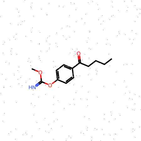 CCCCC(=O)c1ccc(OC(=N)OC)cc1